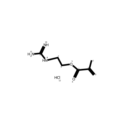 C=C(C)C(=O)OCCNC(=N)N.Cl